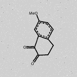 COc1ccc2c(c1)C(=O)C(=O)CC2